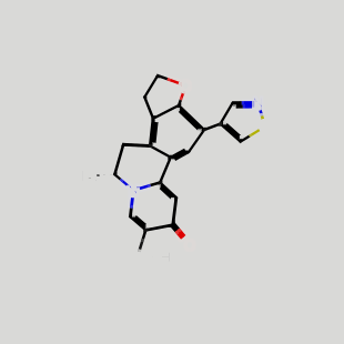 CC(C)(C)[C@@H]1Cc2c(cc(-c3cnsc3)c3c2CCO3)-c2cc(=O)c(C(=O)O)cn21